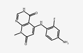 Cn1c(=O)cc(Nc2ccc(N)cc2F)c2c(=O)[nH]cnc21